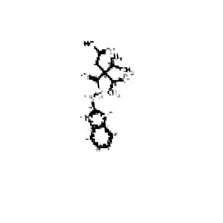 CC(C)C(CC(=O)O)(C(=O)OSc1nc2ccccc2s1)C(C)C